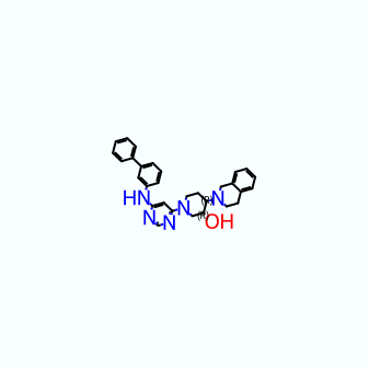 O[C@@H]1CN(c2cc(Nc3cccc(-c4ccccc4)c3)ncn2)CC[C@H]1N1CCc2ccccc2C1